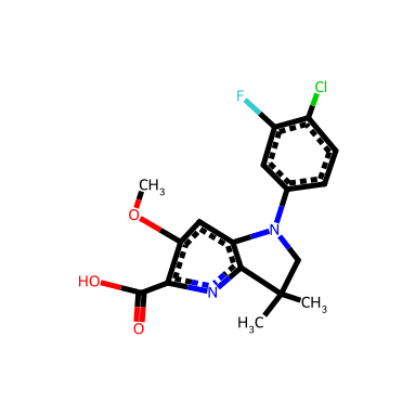 COc1cc2c(nc1C(=O)O)C(C)(C)CN2c1ccc(Cl)c(F)c1